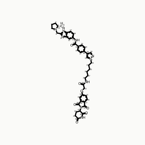 C[C@H]1CCCN1Cc1nc2cc(NC(=O)c3ccc(-c4cnn(CCCCCCNC(=O)COc5ccc6c(c5)C(=O)N(C5CCC(=O)NC5=O)C6=O)c4)cc3)ccc2[nH]1